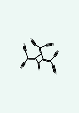 N#CC(C#N)=C1C(=O)C(=C(C#N)C#N)C1=C(C#N)C#N